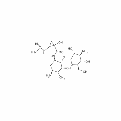 CC1[C@@H](N)C[C@@H](NC(=O)C2(O)CC2NC(=N)N)[C@H](O[C@H]2O[C@H](CO)[C@@H](O)[C@H](N)[C@H]2O)[C@H]1O